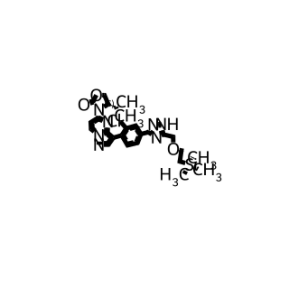 CC(C)[C@H]1COC(=O)N1c1ccn2ncc(-c3ccc(-c4n[nH]c(COCC[Si](C)(C)C)n4)cc3Cl)c2n1